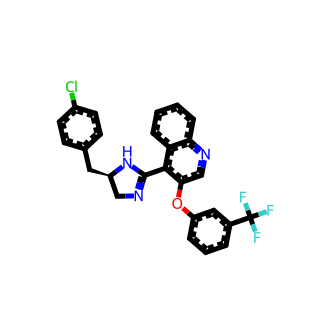 FC(F)(F)c1cccc(Oc2cnc3ccccc3c2C2=NC[C@@H](Cc3ccc(Cl)cc3)N2)c1